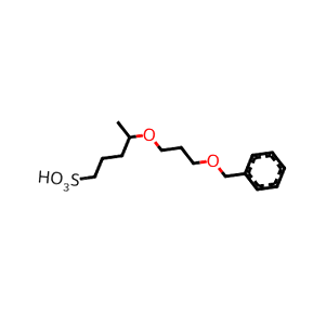 CC(CCCS(=O)(=O)O)OCCCOCc1ccccc1